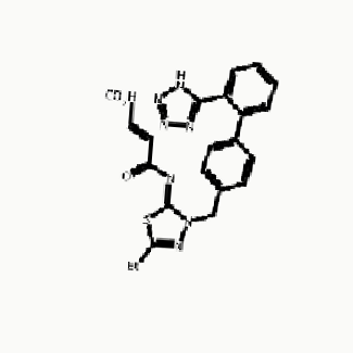 CCc1nn(Cc2ccc(-c3ccccc3-c3nnn[nH]3)cc2)c(=NC(=O)C=CC(=O)O)s1